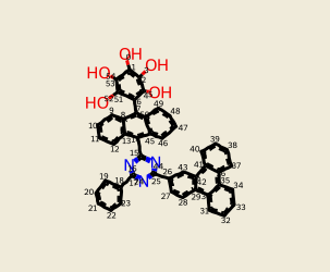 Oc1c(O)c(O)c(-c2c3ccccc3c(-c3nc(-c4ccccc4)nc(-c4ccc5c6ccccc6c6ccccc6c5c4)n3)c3ccccc23)c(O)c1O